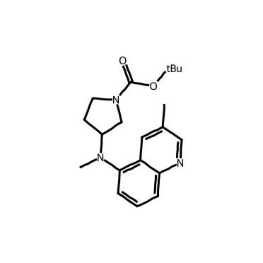 Cc1cnc2cccc(N(C)C3CCN(C(=O)OC(C)(C)C)C3)c2c1